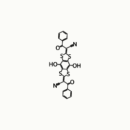 N#CC(C(=O)c1ccccc1)=C1Sc2c(O)c3c(c(O)c2S1)SC(=C(C#N)C(=O)c1ccccc1)S3